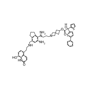 Nc1cc(CNCCc2ccc(O)c3[nH]c(=O)ccc23)c2c(c1N(N)CCCN1CC3(CC(OC(=O)C(O)(c4cccs4)c4ccc(-c5ccccc5)s4)C3)C1)CCC2